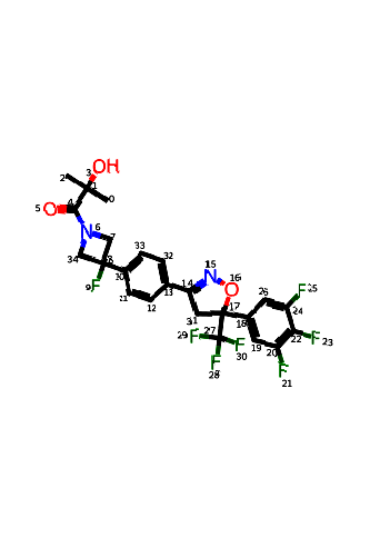 CC(C)(O)C(=O)N1CC(F)(c2ccc(C3=NOC(c4cc(F)c(F)c(F)c4)(C(F)(F)F)C3)cc2)C1